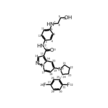 O=C(Nc1ccc(NCCO)cc1)c1cnn2ccc(N3CCC[C@@H]3c3cc(F)ccc3F)cc12